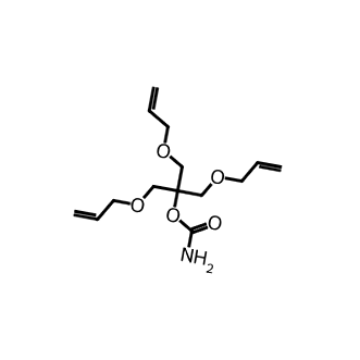 C=CCOCC(COCC=C)(COCC=C)OC(N)=O